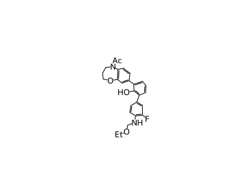 CCOCNc1ccc(-c2cccc(-c3ccc4c(c3)OCCCN4C(C)=O)c2O)cc1F